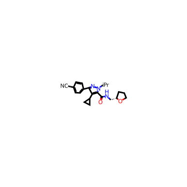 CC(C)n1nc(-c2ccc(C#N)cc2)c(C2CC2)c1C(=O)NC[C@@H]1CCCO1